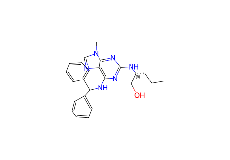 CCC[C@H](CO)Nc1nc(NC(c2ccccc2)c2ccccc2)c2ncn(C)c2n1